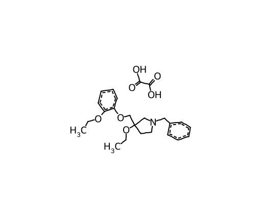 CCOc1ccccc1OCC1(OCC)CCN(Cc2ccccc2)C1.O=C(O)C(=O)O